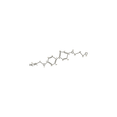 C#CCOc1ccc(-c2ccc(OCCCCl)cc2)cc1